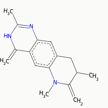 C=C1NC(C)=Nc2cc3c(cc21)N(C)C(=C)C(C)C3